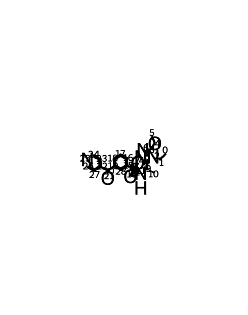 CCn1c(OC)nnc1[C@@H](C)NS(=O)(=O)c1cccc(C(=O)c2ccncc2)c1